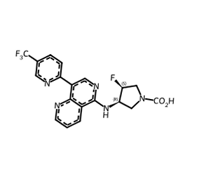 O=C(O)N1C[C@H](F)[C@H](Nc2ncc(-c3ccc(C(F)(F)F)cn3)c3ncccc23)C1